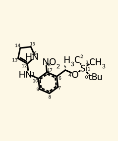 CC(C)(C)[Si](C)(C)OCc1cccc(NC2=CCCN2)c1[N+](=O)[O-]